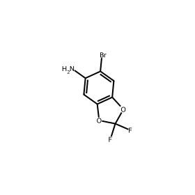 Nc1cc2c(cc1Br)OC(F)(F)O2